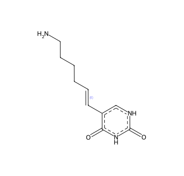 NCCCC/C=C/c1c[nH]c(=O)[nH]c1=O